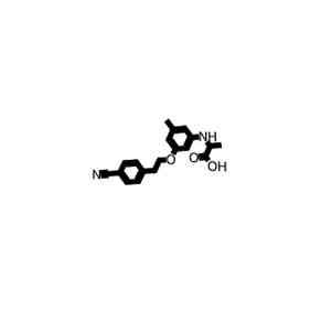 Cc1cc(NC(C)C(=O)O)cc(OCCc2ccc(C#N)cc2)c1